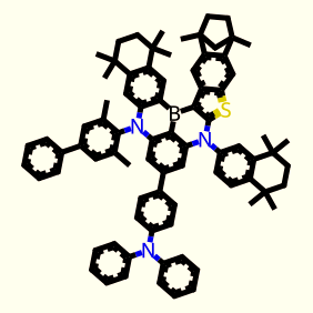 Cc1cc(-c2ccccc2)cc(C)c1N1c2cc3c(cc2B2c4c(cc(-c5ccc(N(c6ccccc6)c6ccccc6)cc5)cc41)N(c1ccc4c(c1)C(C)(C)CCC4(C)C)c1sc4cc5c(cc4c12)C1(C)CCC5(C)C1)C(C)(C)CCC3(C)C